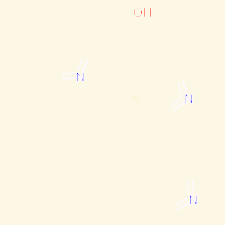 OC(c1ccccn1)c1cnc(-c2cccnc2)s1